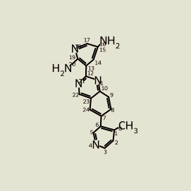 Cc1ccncc1-c1ccc2nc(-c3cc(N)cnc3N)ncc2c1